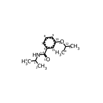 CC(C)NC(=O)c1cccc(OC(C)C)c1